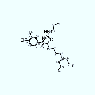 CCCNC(=O)N=S(=O)(CCCCCN(CCC)CCC)c1ccc(Cl)c(Cl)c1